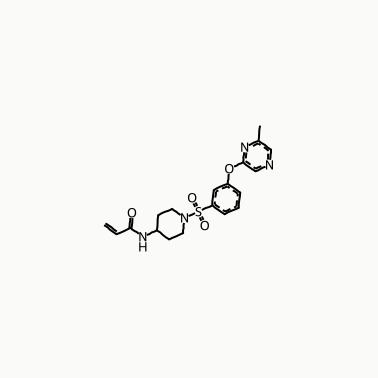 C=CC(=O)NC1CCN(S(=O)(=O)c2cccc(Oc3cncc(C)n3)c2)CC1